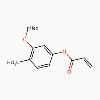 C=CC(=O)Oc1ccc(C(=O)O)c(OCCCCCC)c1